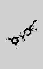 CCOCC1(O)CCN(C(=O)Nc2cc(Cl)cc(Cl)c2)CC1